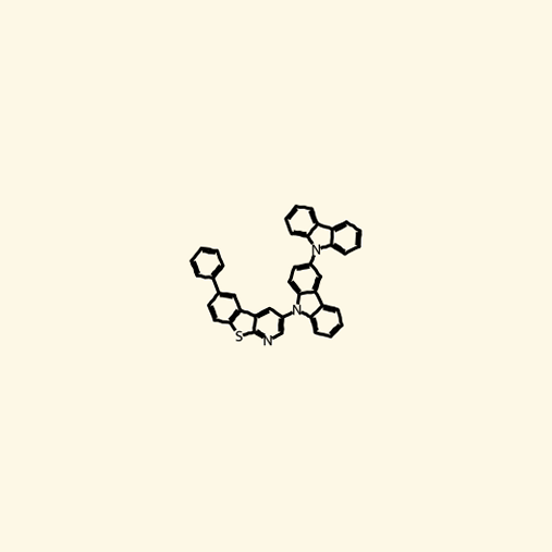 c1ccc(-c2ccc3sc4ncc(-n5c6ccccc6c6cc(-n7c8ccccc8c8ccccc87)ccc65)cc4c3c2)cc1